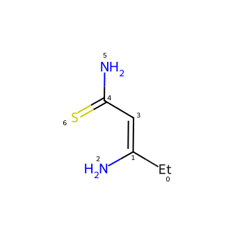 CCC(N)=CC(N)=S